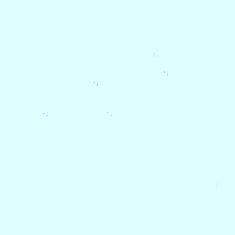 Cn1ncc(-c2noc(-c3ccccn3)n2)c1COc1ccc(C(F)(F)F)cc1